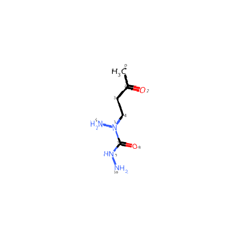 CC(=O)CCN(N)C(=O)NN